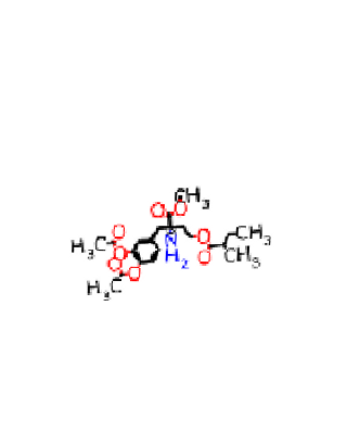 CCC(C)C(=O)OCC[C@@](N)(Cc1ccc(OC(C)=O)c(OC(C)=O)c1)C(=O)OC